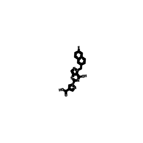 O=C(O)c1cnn(-c2nc(O)c3c(cnn3Cc3ccc4cc(F)ccc4c3)n2)c1